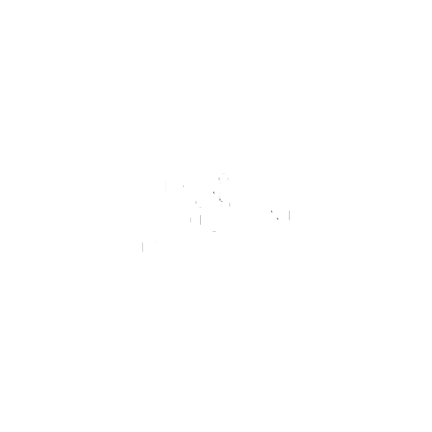 CCCCCCCC[NH3+].C[C-](C)[N+](=O)[O-]